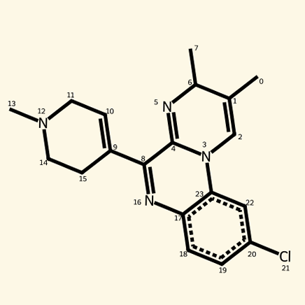 CC1=CN2C(=NC1C)C(C1=CCN(C)CC1)=Nc1ccc(Cl)cc12